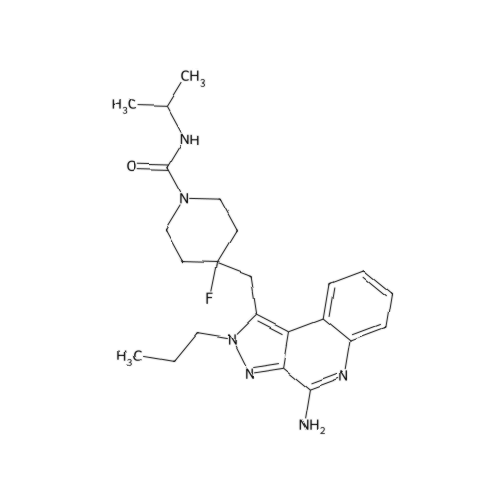 CCCn1nc2c(N)nc3ccccc3c2c1CC1(F)CCN(C(=O)NC(C)C)CC1